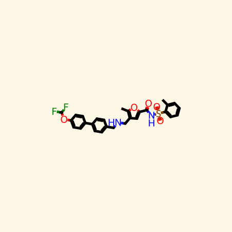 Cc1ccccc1S(=O)(=O)NC(=O)c1cc(CNCc2ccc(-c3ccc(OC(F)F)cc3)cc2)c(C)o1